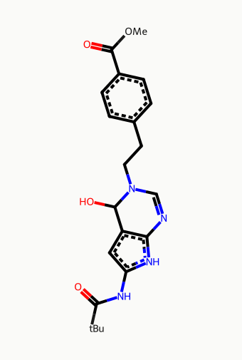 COC(=O)c1ccc(CCN2C=Nc3[nH]c(NC(=O)C(C)(C)C)cc3C2O)cc1